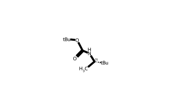 C[C@H](NC(=O)OC(C)(C)C)C(C)(C)C